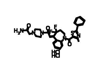 Cc1nc(-c2ccccc2)sc1C(=O)N1CCC(F)(F)/C(=C\C(=O)N2CCN(CC(N)=O)CC2)c2ccccc21.Cl.Cl